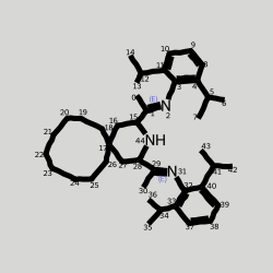 C/C(=N\c1c(C(C)C)cccc1C(C)C)C1CC2(CCCCCCCCC2)CC(/C(C)=N/c2c(C(C)C)cccc2C(C)C)N1